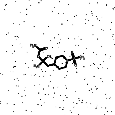 CC(C)(CC1CCN(S(C)(=O)=O)CC1)OC(N)=O